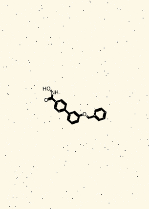 O=C(NO)c1ccc(-c2cccc(OCc3ccccc3)c2)cc1